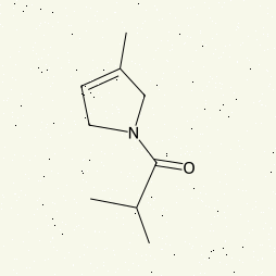 CC1=CCN(C(=O)C(C)C)C1